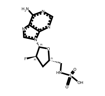 Nc1ncnc2c1ncn2[C@@H]1O[C@H](CNS(=O)(=O)O)C[C@H]1F